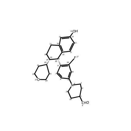 O=CC1CCN(c2ccc([C@H]3c4ccc(O)cc4CC[C@H]3C3CCOCC3)c(F)c2)CC1